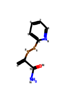 C=C(SSc1ccccn1)C(N)=O